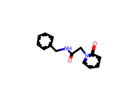 O=C(Cn1ccccc1=O)NCc1c[c]ccc1